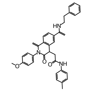 C=C(NCCc1ccccc1)c1ccc2c(c1)C(CC(=O)Nc1ccc(C)cc1)C(=O)N(c1ccc(OC)cc1)C2=C